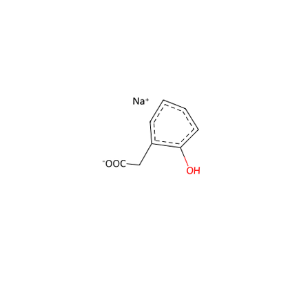 O=C([O-])Cc1ccccc1O.[Na+]